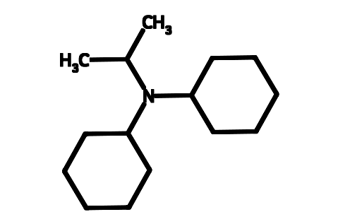 CC(C)N(C1CCCCC1)C1CCCCC1